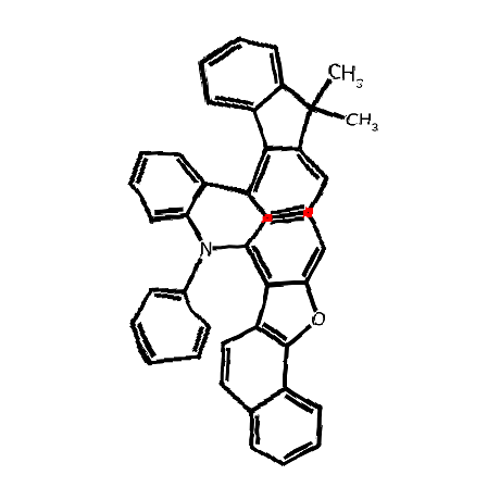 CC1(C)c2ccccc2-c2c(-c3ccccc3N(c3ccccc3)c3cccc4oc5c6ccccc6ccc5c34)cccc21